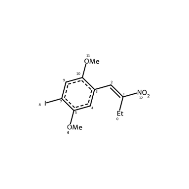 CC/C(=C\c1cc(OC)c(I)cc1OC)[N+](=O)[O-]